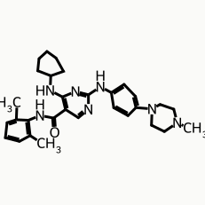 Cc1cccc(C)c1NC(=O)c1cnc(Nc2ccc(N3CCN(C)CC3)cc2)nc1NC1CCCCC1